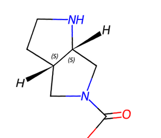 O=C(O)N1C[C@@H]2CCN[C@@H]2C1